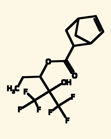 CCC(OC(=O)C1CC2C=CC1C2)C(O)(C(F)(F)F)C(F)(F)F